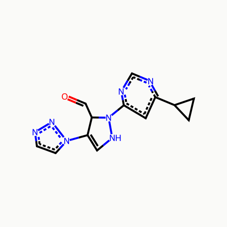 O=CC1C(n2ccnn2)=CNN1c1cc(C2CC2)ncn1